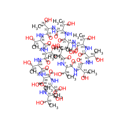 CC(O)C(C)C(=O)NC(C(=O)NC(C(=O)NC(C(=O)NC(C(=O)NC(C(=O)NC(C(=O)NC(C(=O)NC(C(=O)NC(C(=O)NC(C(=O)NC(C(=O)NC(C(=O)NC(C(=O)O)C(C)O)C(C)O)C(C)O)C(C)O)C(C)O)C(C)O)C(C)O)C(C)O)C(C)O)C(C)O)C(C)O)C(C)O)C(C)O